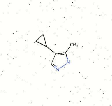 CC1=C(C2CC2)C=N[N]1